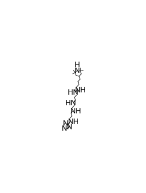 CC1(C)CC(CCCCNNCCCNCCNCCCNc2ncncn2)CC(C)(C)N1